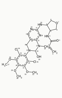 C=CC(=O)NC1COCC1Nc1ncc2c(n1)N(C)C(O)N(c1c(Cl)c(OC)c(OC)c(OC)c1Cl)C2